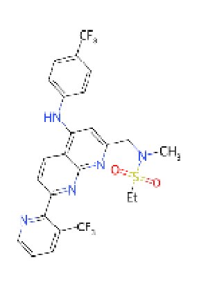 CCS(=O)(=O)N(C)Cc1cc(Nc2ccc(C(F)(F)F)cc2)c2ccc(-c3ncccc3C(F)(F)F)nc2n1